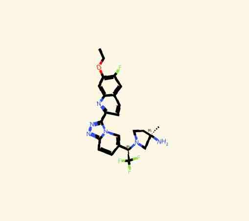 CCOc1cc2nc(-c3nnc4ccc([C@@H](N5CC[C@@](C)(N)C5)C(F)(F)F)cn34)ccc2cc1F